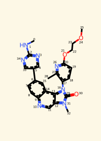 CNc1ncc(-c2ccc3ncc4c(c3c2)n(-c2ccc(OCCOC)nc2C)c(=O)n4C)cn1